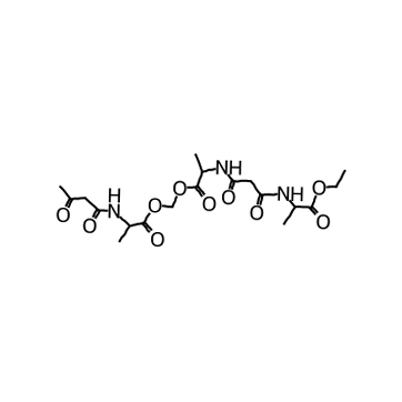 CCOC(=O)C(C)NC(=O)CC(=O)NC(C)C(=O)OCOC(=O)C(C)NC(=O)CC(C)=O